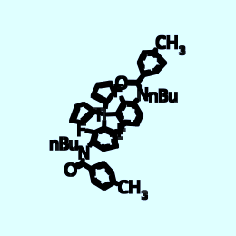 CCCCN(C(=O)c1ccc(C)cc1)c1ccc(F)[c]([Ti]([C]2=CC=CC2)([C]2=CC=CC2)[c]2c(F)ccc(N(CCCC)C(=O)c3ccc(C)cc3)c2F)c1F